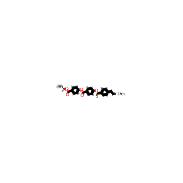 CCCCCCCCCCCCc1ccc(C(=S)Oc2ccc(C(=O)Oc3ccc(C(=O)OC[C@@H](C)CC)cc3)cc2)cc1